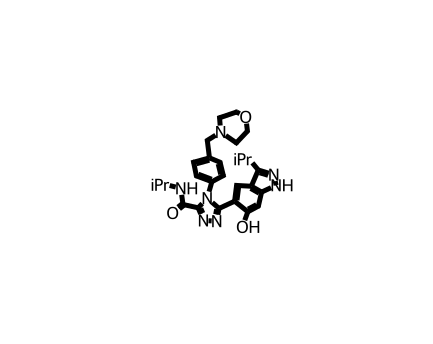 CC(C)NC(=O)c1nnc(-c2cc3c(C(C)C)n[nH]c3cc2O)n1-c1ccc(CN2CCOCC2)cc1